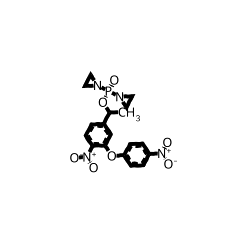 CC(OP(=O)(N1CC1)N1CC1)c1ccc([N+](=O)[O-])c(Oc2ccc([N+](=O)[O-])cc2)c1